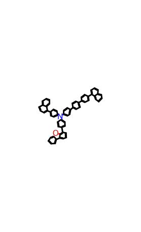 c1ccc2c(-c3ccc(-c4ccc(-c5ccc(N(c6ccc(-c7cccc8ccccc78)cc6)c6ccc(-c7cccc8c7oc7ccccc78)cc6)cc5)cc4)cc3)cccc2c1